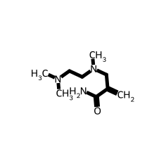 C=C(CN(C)CCN(C)C)C(N)=O